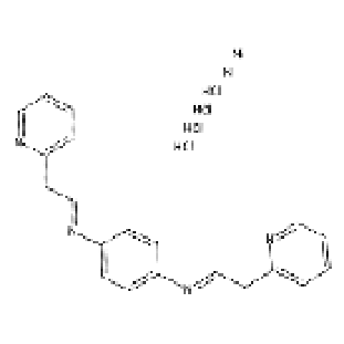 C(Cc1ccccn1)=Nc1ccc(N=CCc2ccccn2)cc1.Cl.Cl.Cl.Cl.[Ni].[Ni]